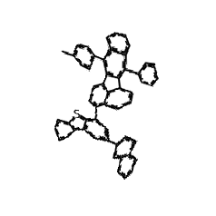 Cc1ccc(-c2c3c(c(-c4ccccc4)c4ccccc24)-c2cccc4c(-c5cc(-c6ccc7ccccc7c6)cc6c5sc5ccccc56)ccc-3c24)cc1